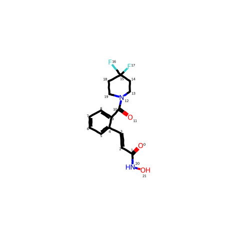 O=C(C=Cc1ccccc1C(=O)N1CCC(F)(F)CC1)NO